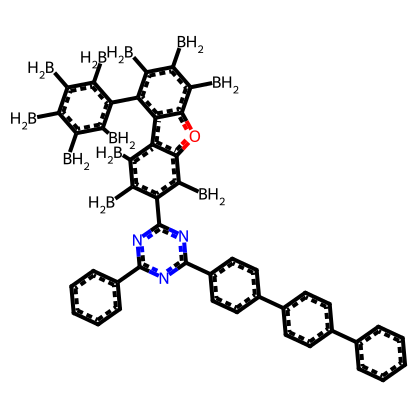 Bc1c(B)c(B)c(-c2c(B)c(B)c(B)c3oc4c(B)c(-c5nc(-c6ccccc6)nc(-c6ccc(-c7ccc(-c8ccccc8)cc7)cc6)n5)c(B)c(B)c4c23)c(B)c1B